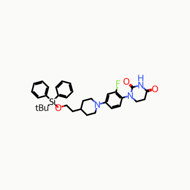 CC(C)(C)[Si](OCCC1CCN(c2ccc(N3CCC(=O)NC3=O)c(F)c2)CC1)(c1ccccc1)c1ccccc1